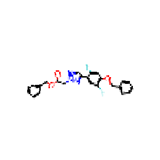 O=C(Cn1ncc(-c2cc(F)c(OCc3ccccc3)cc2F)n1)OCc1ccccc1